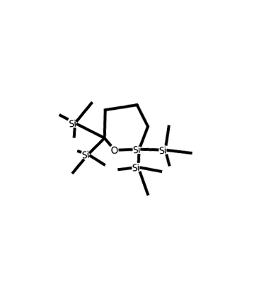 C[Si](C)(C)C1([Si](C)(C)C)CCC[Si]([Si](C)(C)C)([Si](C)(C)C)O1